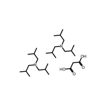 CC(C)CN(CC(C)C)CC(C)C.CC(C)CN(CC(C)C)CC(C)C.O=C(O)CC(=O)O